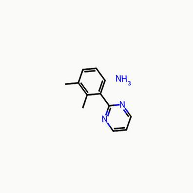 Cc1cccc(-c2ncccn2)c1C.N